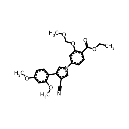 CCOC(=O)c1ccc(-n2cc(C#N)c(-c3ccc(OC)cc3OC)c2)cc1OCOC